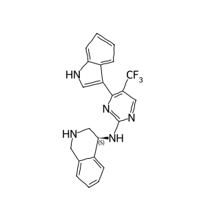 FC(F)(F)c1cnc(N[C@@H]2CNCc3ccccc32)nc1-c1c[nH]c2ccccc12